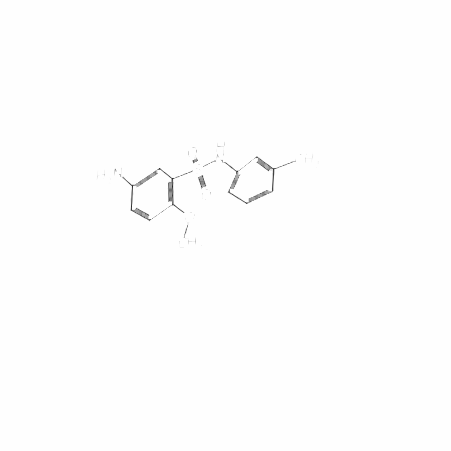 COc1ccc(N)cc1S(=O)(=O)Nc1cccc(C)c1